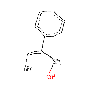 CCCC=C([SiH2]O)c1ccccc1